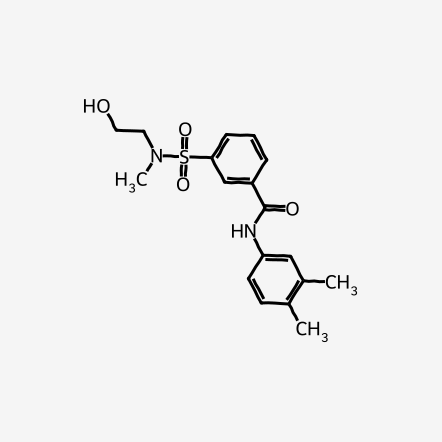 Cc1ccc(NC(=O)c2cccc(S(=O)(=O)N(C)CCO)c2)cc1C